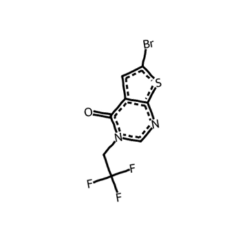 O=c1c2cc(Br)sc2ncn1CC(F)(F)F